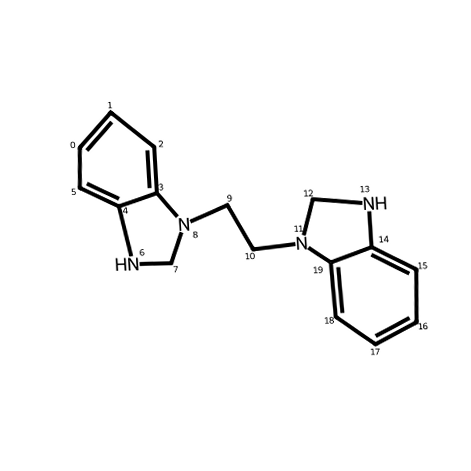 c1ccc2c(c1)NCN2CCN1CNc2ccccc21